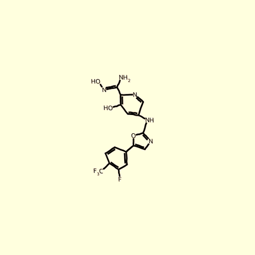 N/C(=N\O)c1ncc(Nc2ncc(-c3ccc(C(F)(F)F)c(F)c3)o2)cc1O